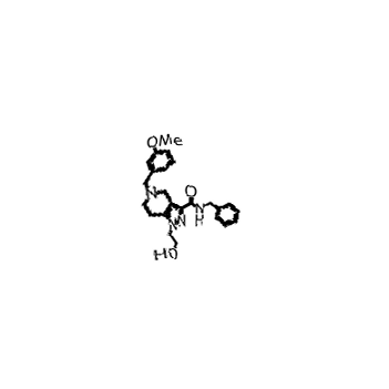 COc1cccc(CN2CCc3c(c(C(=O)NCc4ccccc4)nn3CCO)C2)c1